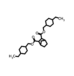 CCC1CCC(COC(=O)C2C3CCC(C3)C2C(=O)OCC2CCC(CC)CC2)CC1